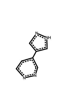 c1cc(-c2cn[nH]c2)cnn1